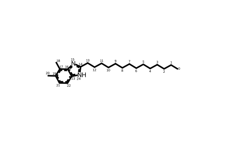 CCCCCCCCCCCCCCc1nc2c(C)c(C)ccc2[nH]1